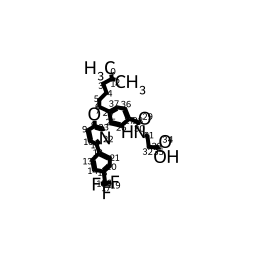 CC(C)CCCC(Oc1ccc(-c2ccc(C(F)(F)F)cc2)nc1)c1ccc(C(=O)NCCC(=O)O)cc1